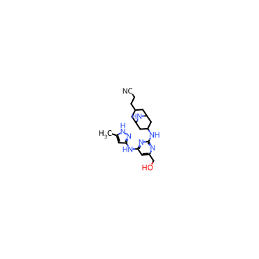 Cc1cc(Nc2cc(CO)nc(NC3CC4CC(CCC#N)CC(C3)N4)n2)n[nH]1